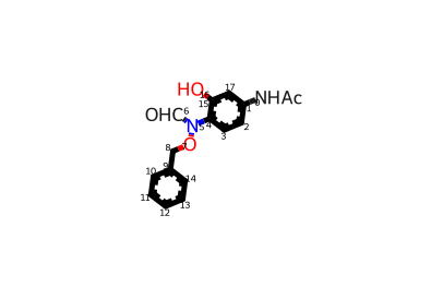 CC(=O)Nc1ccc(N(C=O)OCc2ccccc2)c(O)c1